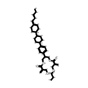 C=C(CO)C(=O)OCC(COC(=O)C(=C)COCCC)c1ccc(C2CCC(C3CCC(CCCCC)CC3)CC2)cc1